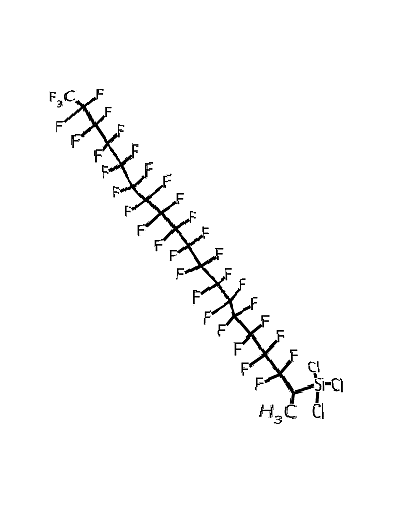 CC(C(F)(F)C(F)(F)C(F)(F)C(F)(F)C(F)(F)C(F)(F)C(F)(F)C(F)(F)C(F)(F)C(F)(F)C(F)(F)C(F)(F)C(F)(F)C(F)(F)C(F)(F)C(F)(F)C(F)(F)F)[Si](Cl)(Cl)Cl